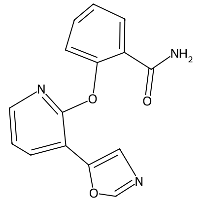 NC(=O)c1ccccc1Oc1ncccc1-c1cnco1